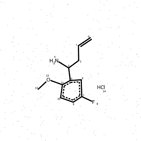 C=CCC(N)c1cc(F)ccc1OC.Cl